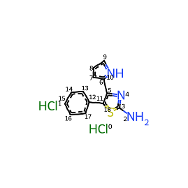 Cl.Cl.Nc1nc(-c2ccc[nH]2)c(-c2ccccc2)s1